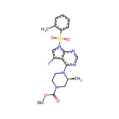 Cc1ccccc1S(=O)(=O)n1cc(I)c2c(N3CCN(C(=O)OC(C)(C)C)C[C@@H]3C)ncnc21